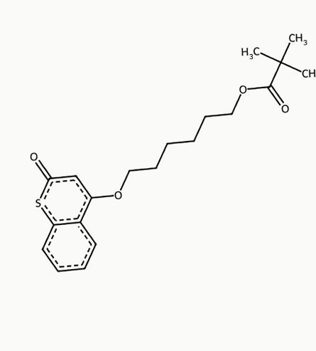 CC(C)(C)C(=O)OCCCCCCOc1cc(=O)sc2ccccc12